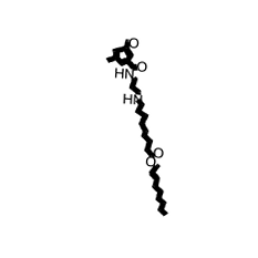 CCCCCC/C=C/COC(=O)CCCCCCCCNCCCNC(=O)c1cc(C)cc(C=O)c1